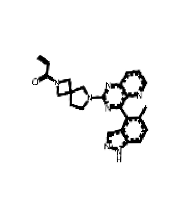 C=CC(=O)N1CC2(CCN(c3nc(-c4c(C)ccc5[nH]ncc45)c4ncccc4n3)C2)C1